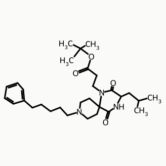 CC(C)CC1NC(=O)C2(CCN(CCCCCc3ccccc3)CC2)N(CCC(=O)OC(C)(C)C)C1=O